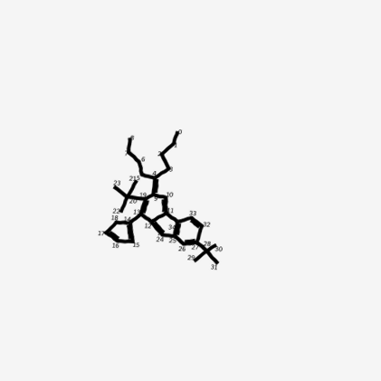 CCCCC(CCCC)=c1cc2c(c(C3=CC=CC3)c1C(C)(C)C)=[C]c1cc(C(C)(C)C)ccc1-2